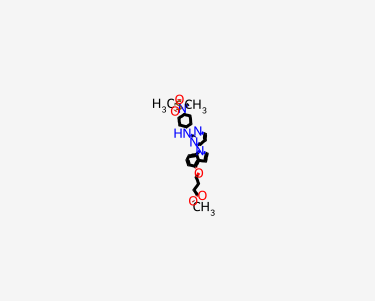 COC(=O)CCCOc1cccc2c1ccn2-c1ccnc(N[C@H]2CC[C@H](N(C)S(C)(=O)=O)CC2)n1